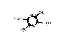 CCOC(=O)c1nc(C)c(C(=O)OCC)nc1C